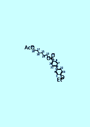 CCOc1ccc(-c2ccc(C(=O)OCCCCCCOC(C)=O)cc2)cc1